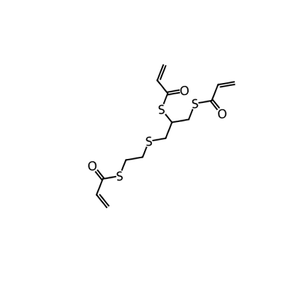 C=CC(=O)SCCSCC(CSC(=O)C=C)SC(=O)C=C